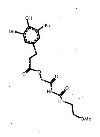 COCCNC(=O)NC(=O)COC(=O)CCc1cc(C(C)(C)C)c(O)c(C(C)(C)C)c1